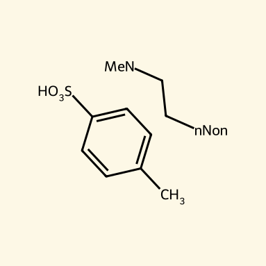 CCCCCCCCCCCNC.Cc1ccc(S(=O)(=O)O)cc1